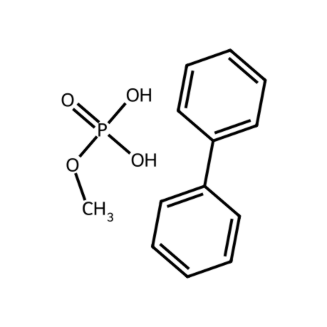 COP(=O)(O)O.c1ccc(-c2ccccc2)cc1